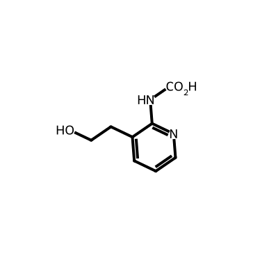 O=C(O)Nc1ncccc1CCO